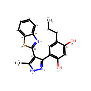 CCCc1cc(-c2n[nH]c(C)c2-c2nc3ccccc3s2)c(O)cc1O